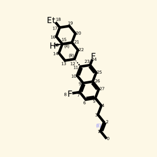 C/C=C/CCc1cc(F)c2cc([C@@H]3CC[C@@H]4CC(CC)CCC4C3)c(F)cc2c1